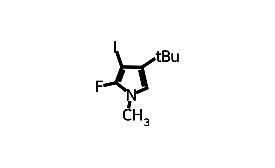 Cn1cc(C(C)(C)C)c(I)c1F